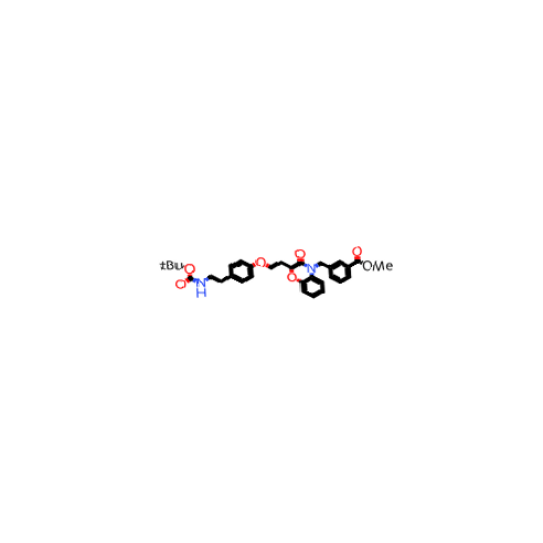 COC(=O)c1cccc(CN2C(=O)C(CCOc3ccc(CCNC(=O)OC(C)(C)C)cc3)Oc3ccccc32)c1